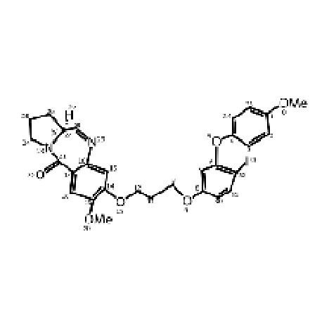 COc1ccc(Oc2cc(OCCCOc3cc4c(cc3OC)C(=O)N3CCC[C@H]3C=N4)ccc2I)cc1